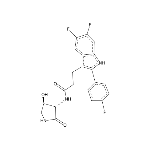 O=C(CCc1c(-c2ccc(F)cc2)[nH]c2cc(F)c(F)cc12)N[C@@H]1C(=O)NC[C@H]1O